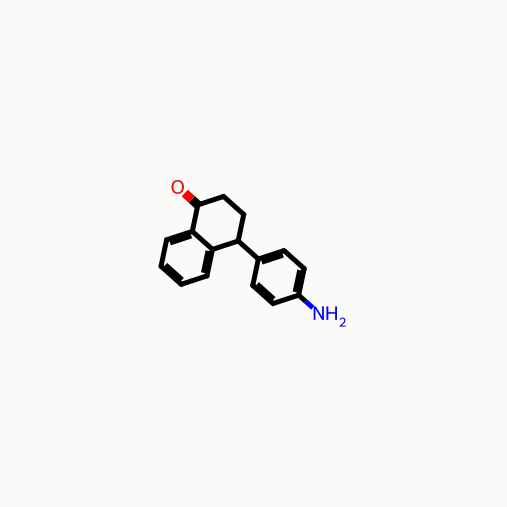 Nc1ccc(C2CCC(=O)c3ccccc32)cc1